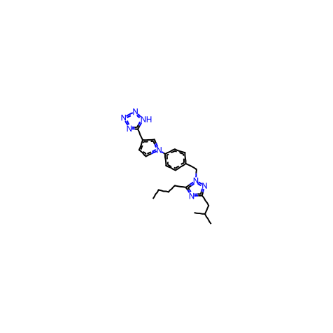 CCCCc1nc(CC(C)C)nn1Cc1ccc(-n2ccc(-c3nnn[nH]3)c2)cc1